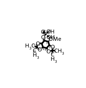 COC1C2OC(C)(C)OC2C2OC(C)(C)OC2C1OP(=O)(O)O